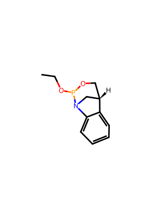 CCOP1OC[C@H]2CN1c1ccccc12